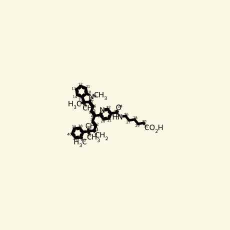 C=C(/C=C/C(=C/C=C1/N(C)c2ccccc2C1(C)C)c1ccc(C(=O)NCCCCCC(=O)O)cn1)C(C)(C)c1ccccc1C